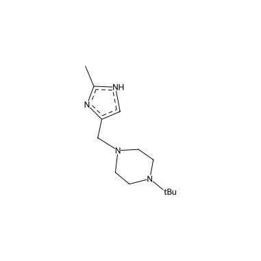 Cc1nc(CN2CCN(C(C)(C)C)CC2)c[nH]1